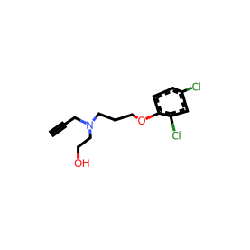 C#CCN(CCO)CCCOc1ccc(Cl)cc1Cl